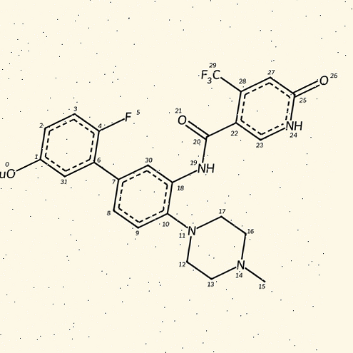 CC(C)COc1ccc(F)c(-c2ccc(N3CCN(C)CC3)c(NC(=O)c3c[nH]c(=O)cc3C(F)(F)F)c2)c1